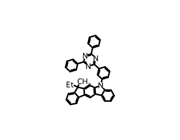 CCC1(C)c2ccccc2-c2cc3c4ccccc4n(-c4cccc(-c5nc(-c6ccccc6)nc(-c6ccccc6)n5)c4)c3cc21